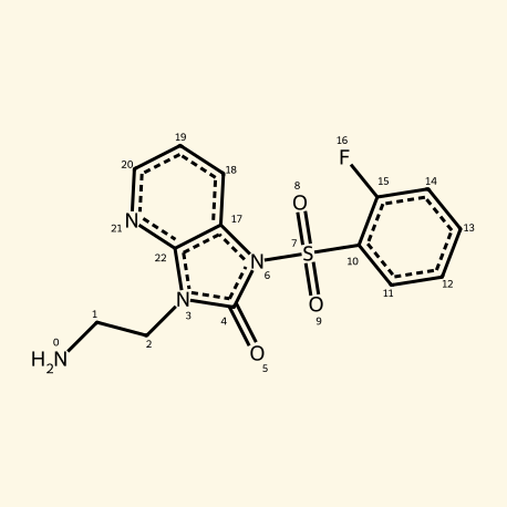 NCCn1c(=O)n(S(=O)(=O)c2ccccc2F)c2cccnc21